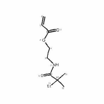 C=CC(=O)OCCNC(=O)C(C)(C)CC